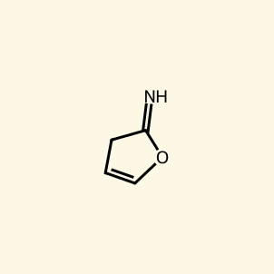 N=C1CC=CO1